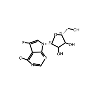 OC[C@H]1O[C@@H](n2cc(F)c3c(Cl)ncnc32)C(O)C1O